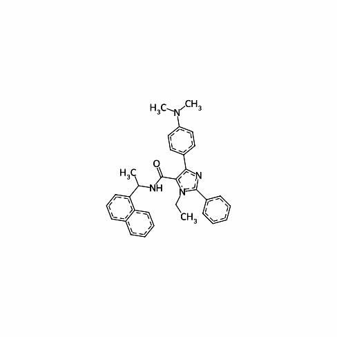 CCn1c(-c2ccccc2)nc(-c2ccc(N(C)C)cc2)c1C(=O)NC(C)c1cccc2ccccc12